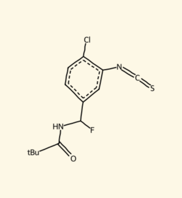 CC(C)(C)C(=O)NC(F)c1ccc(Cl)c(N=C=S)c1